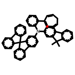 CC1(C)c2ccccc2-c2ccc(N(c3ccc4c(c3)C3(c5ccccc5-c5ccccc53)c3ccccc3-4)c3ccccc3C3=CC=CCC=C3)cc21